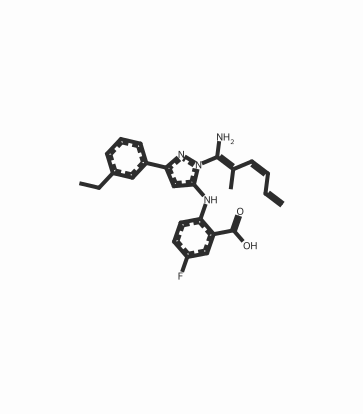 C=C/C=C\C(C)=C(/N)n1nc(-c2cccc(CC)c2)cc1Nc1ccc(F)cc1C(=O)O